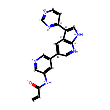 C=CC(=O)Nc1cncc(-c2cnc3[nH]cc(-c4ccncn4)c3c2)c1